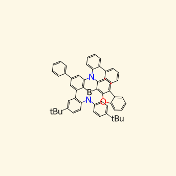 CC(C)(C)c1ccc(N2B3c4c(cc(-c5ccccc5)cc4N(c4ccccc4-c4ccccc4)c4ccc5c(oc6ccccc65)c43)-c3cc(C(C)(C)C)ccc32)cc1